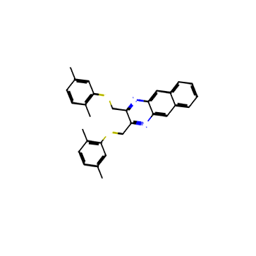 Cc1ccc(C)c(SCc2nc3cc4ccccc4cc3nc2CSc2cc(C)ccc2C)c1